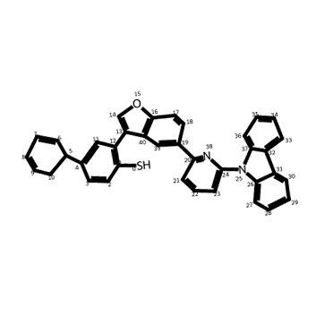 Sc1ccc(C2C=CC=CC2)cc1-c1coc2ccc(-c3cccc(-n4c5ccccc5c5ccccc54)n3)cc12